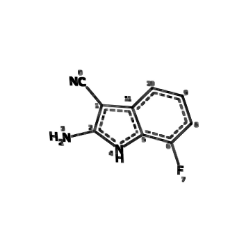 N#Cc1c(N)[nH]c2c(F)cccc12